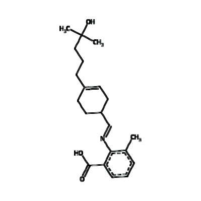 Cc1cccc(C(=O)O)c1N=CC1CC=C(CCCC(C)(C)O)CC1